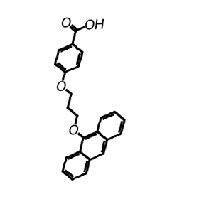 O=C(O)c1ccc(OCCCOc2c3ccccc3cc3ccccc23)cc1